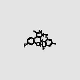 Cc1cc(F)c(Nc2c(-c3ccc(F)cc3Cl)c(C)nn2C)c(F)c1